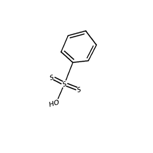 OS(=S)(=S)c1ccccc1